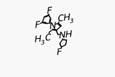 CCc1c(CN[C@H]2CC[C@@H](F)C2)cc(C)n1-c1cc(F)cc(F)c1